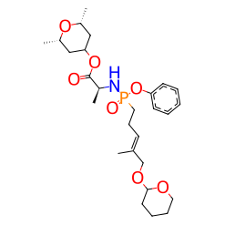 C/C(=C\CCP(=O)(N[C@@H](C)C(=O)OC1C[C@@H](C)O[C@@H](C)C1)Oc1ccccc1)COC1CCCCO1